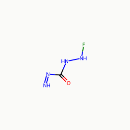 N=NC(=O)NNF